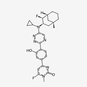 Cn1c(F)cc(-c2ccc(-c3ncc(N(C4CC4)[C@@H]4C[C@@]5(C)CCC[C@H](C5)[C@@H]4F)nn3)c(O)c2)nc1=O